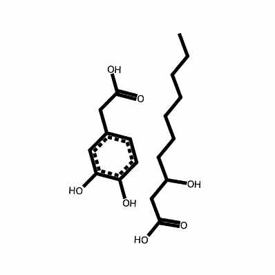 CCCCCCCC(O)CC(=O)O.O=C(O)Cc1ccc(O)c(O)c1